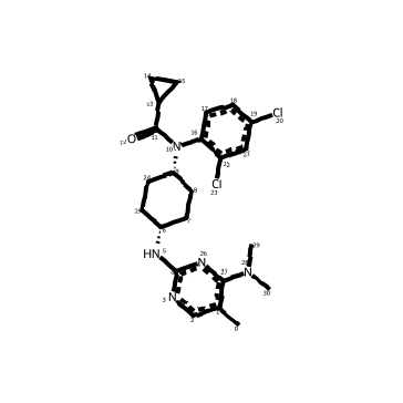 Cc1cnc(N[C@H]2CC[C@@H](N(C(=O)C3CC3)c3ccc(Cl)cc3Cl)CC2)nc1N(C)C